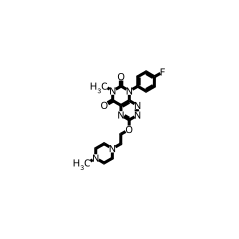 CN1CCN(CCOc2nnc3c(n2)c(=O)n(C)c(=O)n3-c2ccc(F)cc2)CC1